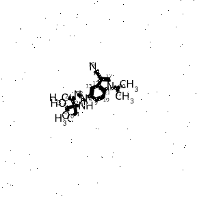 CCC1(C(=O)O)NN(c2ccc3c(c2)c(C#N)cn3C(C)C)N=C1C